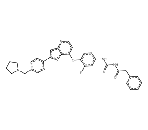 O=C(Cc1ccccc1)NC(=S)Nc1ccc(Oc2ccnc3cc(-c4ccc(CN5CCCC5)cn4)sc23)c(F)c1